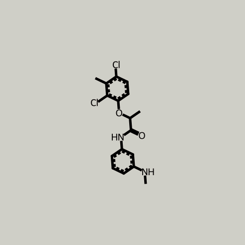 CNc1cccc(NC(=O)C(C)Oc2ccc(Cl)c(C)c2Cl)c1